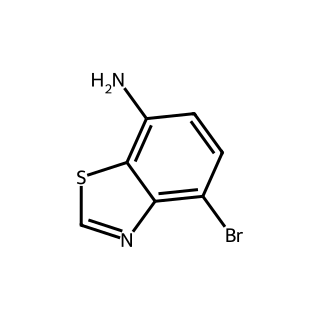 Nc1ccc(Br)c2ncsc12